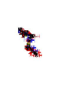 CCCC(=O)OCN(C(=O)[C@@H](NC(=O)[C@H]1CCCCN1C)C(C)CC)[C@H](C[C@@H](OC(C)=O)c1nc(C(=O)N[C@@H](Cc2ccc(O)cc2)C[C@H](C)C(=O)NNC(=O)OCCSSC[C@H](NC(=O)[C@H](CCC(=O)NC[C@H](O)[C@@H](O)[C@H](O)[C@H](O)CO)NC)C(=O)O)cs1)C(C)C